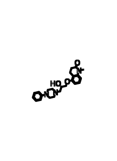 CN1C(=O)CCc2c(OCC(O)CN3CCN(c4ccccc4)CC3)cccc21